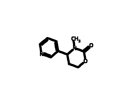 CN1C(=O)OCCC1c1cccnc1